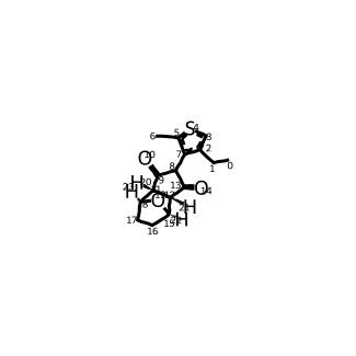 CCc1csc(C)c1C1C(=O)[C@@H]2[C@H](C1=O)[C@H]1CC[C@@H]2O1